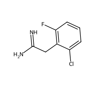 N=C(N)Cc1c(F)cccc1Cl